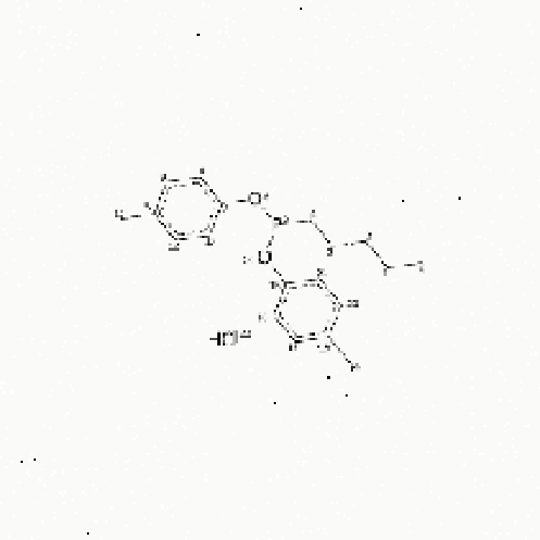 CCCCCP(Oc1ccc(C)cc1)Oc1ccc(C)cc1.Cl